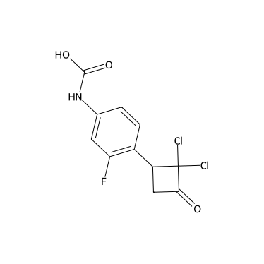 O=C(O)Nc1ccc(C2CC(=O)C2(Cl)Cl)c(F)c1